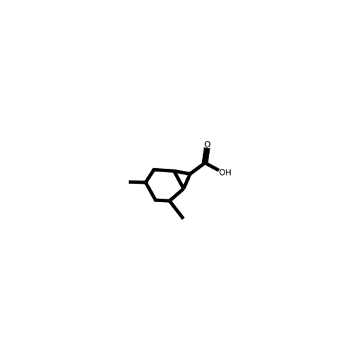 CC1CC(C)C2C(C1)C2C(=O)O